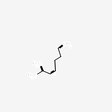 C=CCC/C=C\C(=C)C